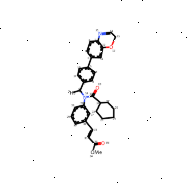 [2H]C(c1ccc(-c2ccc3c(c2)OCC=N3)cc1)N(C(=O)C1CCCCC1)c1cccc(/C=C/C(=O)OC)c1